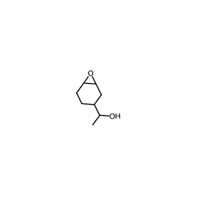 CC(O)C1CCC2OC2C1